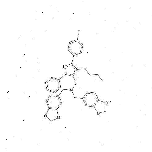 CCCCn1c(-c2ccc(F)cc2)nc(-c2ccccc2)c1CN(Cc1ccc2c(c1)OCO2)Cc1ccc2c(c1)OCO2